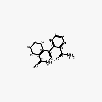 NC(=O)c1cccnc1-c1c[nH]c(=O)c2c1CCCC2